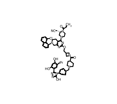 C=CC(=O)N1CCN(c2nc(OCC3CN(C(=O)C4CCN(Cc5ccc(-n6c(O)nnc6-c6cc(C(C)C)c(O)cc6O)cc5)CC4)C3)nc3c2CCN(c2cccc4cccc(Cl)c24)C3)C[C@@H]1CC#N